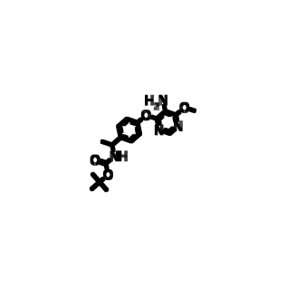 COc1ncnc(Oc2ccc(C(C)NC(=O)OC(C)(C)C)cc2)c1N